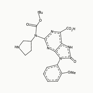 COc1ccccc1-n1c(=O)[nH]c2c(C(=O)O)nc(N(C(=O)OC(C)(C)C)C3CCNC3)nc21